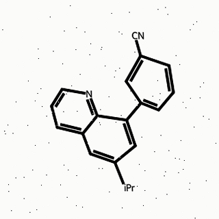 CC(C)c1cc(-c2cccc(C#N)c2)c2ncccc2c1